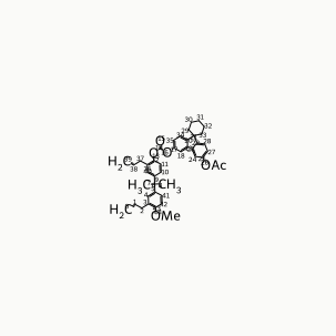 C=CCc1cc(C(C)(C)c2ccc(OC(=O)Oc3ccc(C4(c5ccc(OC(C)=O)cc5)CCCCC4)cc3)c(CC=C)c2)ccc1OC